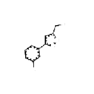 OCc1cc(-c2cccc(Br)c2)on1